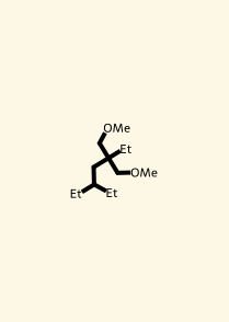 CCC(CC)CC(CC)(COC)COC